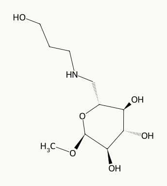 CO[C@H]1O[C@H](CNCCCO)[C@@H](O)[C@H](O)[C@H]1O